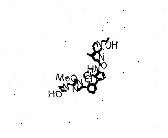 COc1nc(-c2cccc(-c3cccc(NC(=O)c4cc(C)c5c(n4)CN(CC(C)O)CC5)c3Cl)c2Cl)cnc1CN1CC(O)C1